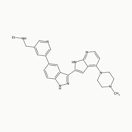 CCNCc1cncc(-c2ccc3[nH]nc(-c4cc5c(N6CCN(C)CC6)ccnc5[nH]4)c3c2)c1